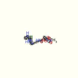 CN1C(=O)CCC(N2C(=O)c3cccc(OCC(=O)NCCCCCCCN4CCC(Nc5ncc(Cl)c(-c6c[nH]c7ccccc67)n5)C4)c3C2=O)C1=O